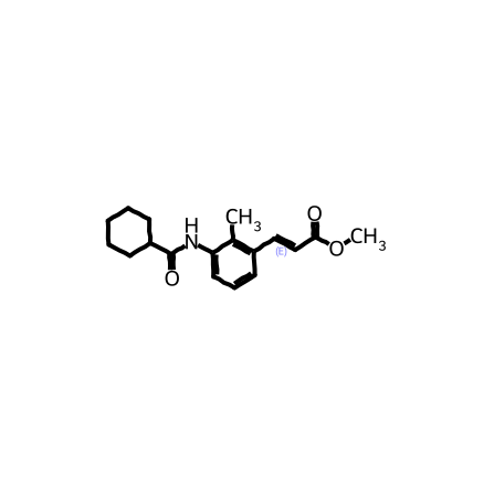 COC(=O)/C=C/c1cccc(NC(=O)C2CCCCC2)c1C